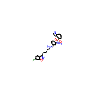 Cn1ccc2c(S(=O)(=O)Nc3cccc(CNCCCCc4noc5cc(F)ccc45)c3)cccc21